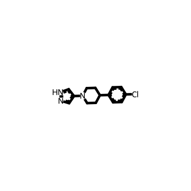 Clc1ccc(C2CCN(c3cn[nH]c3)CC2)cc1